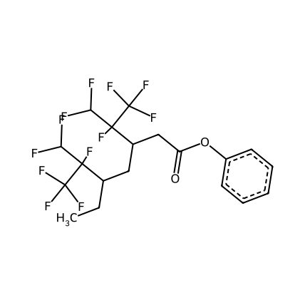 CCC(CC(CC(=O)Oc1ccccc1)C(F)(C(F)F)C(F)(F)F)C(F)(C(F)F)C(F)(F)F